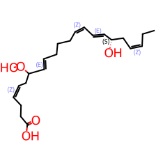 CC/C=C\C[C@H](O)/C=C/C=C\CCC/C=C/C(C/C=C\CCC(=O)O)OO